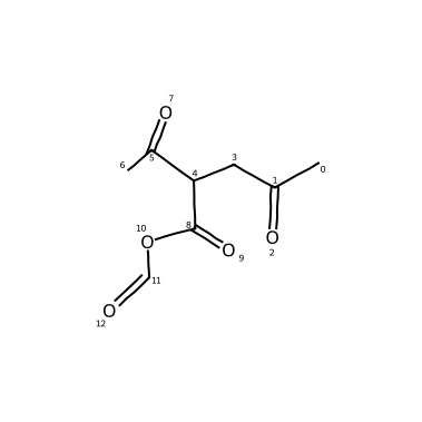 CC(=O)CC(C(C)=O)C(=O)OC=O